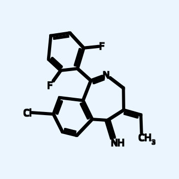 C/C=C1/CN=C(c2c(F)cccc2F)c2cc(Cl)ccc2C1=N